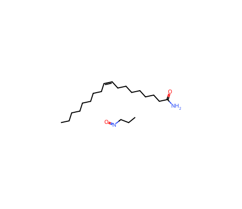 CCCCCCCC/C=C\CCCCCCCC(N)=O.CCCN=O